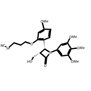 COc1ccc([C@H]2[C@@H](CO)C(=O)N2c2cc(OC)c(OC)c(OC)c2)c(OCCC[Se]C#N)c1